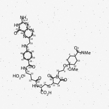 CNC(=O)C1CCC(OC)(OCCN2C(=O)CC(SC[C@H](NC(=O)CC[C@@H](NC(=O)c3ccc(NCc4cnc5nc(N)[nH]c(=O)c5n4)cc3)C(=O)O)C(=O)O)C2=O)CC1